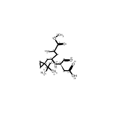 COC(=O)C(N)CC(CC1(C(C)(C)C)CC1)N[C@@H](C=O)CC(=O)O